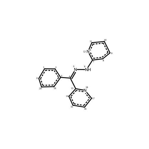 c1ccc(C(=NNc2ccccn2)c2ccccn2)cc1